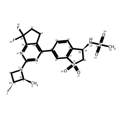 C[C@H]1[C@H](F)CN1c1nc(-c2ccc3c(c2)S(=O)(=O)C[C@@H]3NS(C)(=O)=O)c2c(n1)C(F)(F)CC2